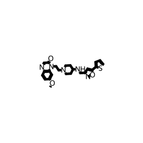 COc1ccc2ncc(=O)n(CCN3CCC(NCc4cc(-c5cccs5)on4)CC3)c2c1